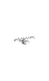 CCCCCCCCCCCCC[O-].CCS(=O)(=O)O.[Na+]